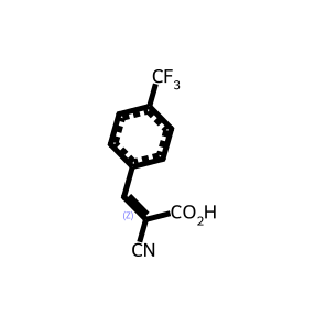 N#C/C(=C/c1ccc(C(F)(F)F)cc1)C(=O)O